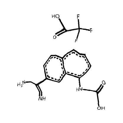 N=C(N)c1ccc2cccc(NC(=O)O)c2c1.O=C(O)C(F)(F)F